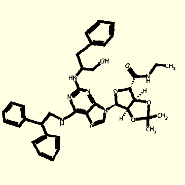 CCNC(=O)[C@H]1O[C@H](n2cnc3c(NCC(c4ccccc4)c4ccccc4)nc(NC(CO)Cc4ccccc4)nc32)[C@@H]2OC(C)(C)O[C@@H]21